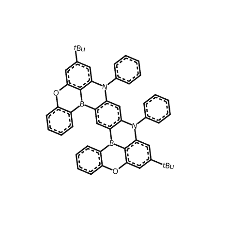 CC(C)(C)c1cc2c3c(c1)N(c1ccccc1)c1cc4c(cc1B3c1ccccc1O2)B1c2ccccc2Oc2cc(C(C)(C)C)cc(c21)N4c1ccccc1